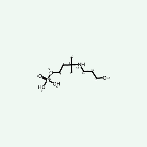 CC(C)(CCOP(=O)(O)O)NCCC[O]